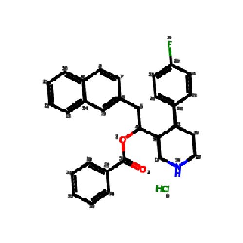 Cl.O=C(OC(Cc1ccc2ccccc2c1)C1CNCCC1c1ccc(F)cc1)c1ccccc1